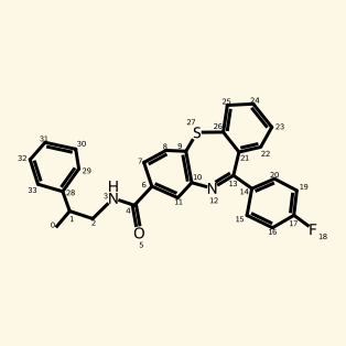 CC(CNC(=O)c1ccc2c(c1)N=C(c1ccc(F)cc1)c1ccccc1S2)c1ccccc1